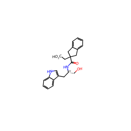 O=C(O)CC1(C(=O)N[C@H](CO)Cc2c[nH]c3ccccc23)Cc2ccccc2C1